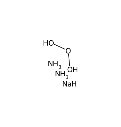 N.N.OOO.[NaH]